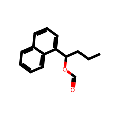 CCCC(O[C]=O)c1cccc2ccccc12